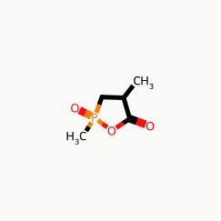 CC1CP(C)(=O)OC1=O